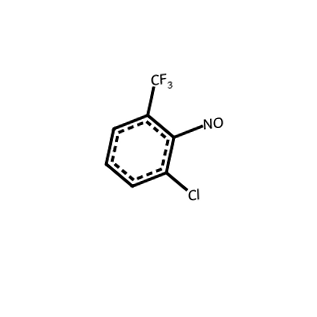 O=Nc1c(Cl)cccc1C(F)(F)F